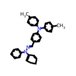 Cc1ccc(N(c2ccc(C)cc2)c2ccc(C=NN(C3=CCCC=C3)c3ccccc3)cc2)cc1